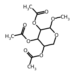 COC1OCC(OC(C)=O)C(OC(C)=O)C1OC(C)=O